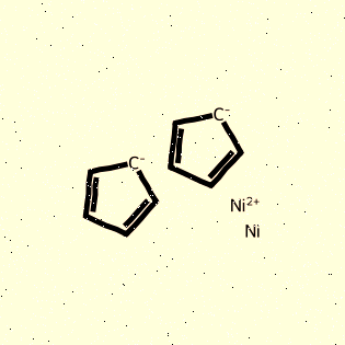 [Ni+2].[Ni].c1cc[cH-]c1.c1cc[cH-]c1